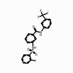 O=C(Nc1cccc(C(F)(F)F)c1)c1cccc(NS(=O)(=O)c2ccccc2F)c1